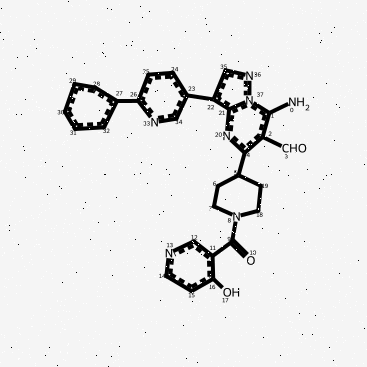 Nc1c(C=O)c(C2CCN(C(=O)c3cnccc3O)CC2)nc2c(-c3ccc(-c4ccccc4)nc3)cnn12